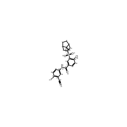 CC1(O)C2CCC1CC(S(=O)(=O)c1cc(C(=O)Nc3ccc(F)c(C#N)c3)ccc1Cl)C2